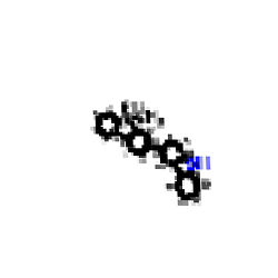 C[Si]1(C)c2ccccc2-c2ccc(-c3ccc4[nH]c5ccccc5c4c3)cc21